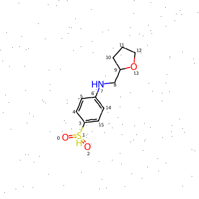 O=[SH](=O)c1c[c]c(NCC2CCCO2)cc1